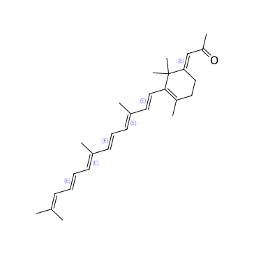 CC(=O)/C=C1\CCC(C)=C(/C=C/C(C)=C/C=C/C(C)=C/C=C/C=C(C)C)C1(C)C